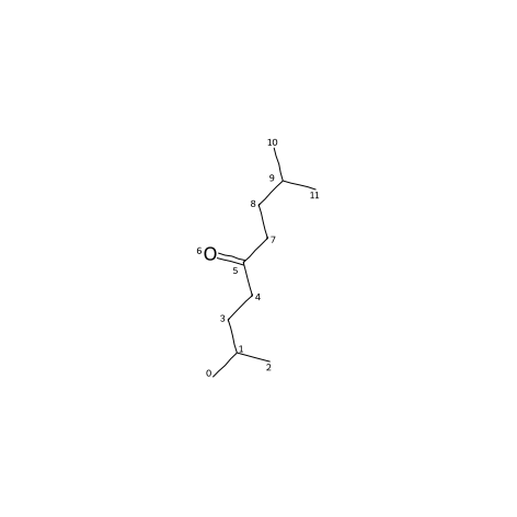 CC(C)CCC(=O)CCC(C)C